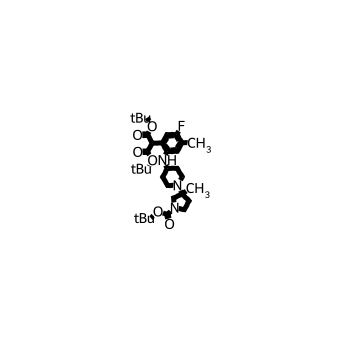 Cc1cc(NC2CCN(C3(C)CCN(C(=O)OC(C)(C)C)C3)CC2)c(C(C(=O)OC(C)(C)C)C(=O)OC(C)(C)C)cc1F